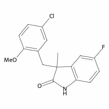 COc1ccc(Cl)cc1CC1(C)C(=O)Nc2ccc(F)cc21